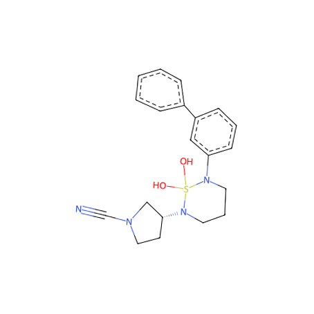 N#CN1CC[C@@H](N2CCCN(c3cccc(-c4ccccc4)c3)S2(O)O)C1